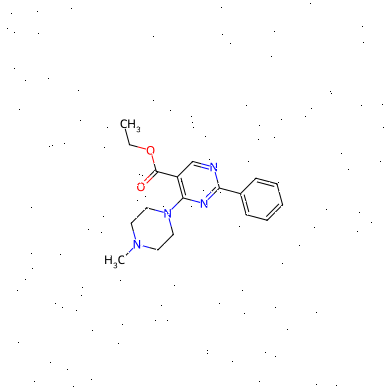 CCOC(=O)c1cnc(-c2ccccc2)nc1N1CCN(C)CC1